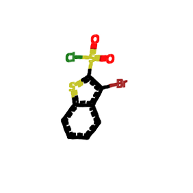 O=S(=O)(Cl)c1sc2ccccc2c1Br